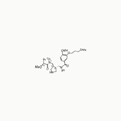 COCCCOc1cc(C(=O)N(C[C@@H]2CNC[C@H]2CN(C)C(=O)[C@@H](OC)C(C)C)C(C)C)ccc1OC